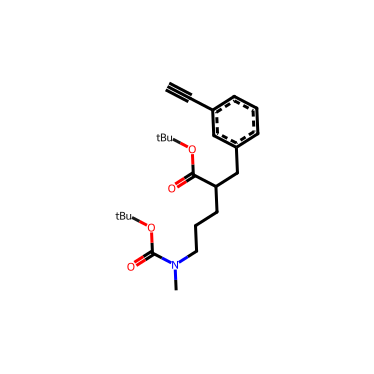 C#Cc1cccc(CC(CCCN(C)C(=O)OC(C)(C)C)C(=O)OC(C)(C)C)c1